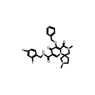 CN1CCC2(C1)CN(C)C(=O)c1c(OCc3ccccc3)c(=O)c(C(=O)NCc3ccc(F)cc3F)cn12